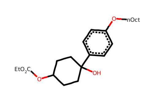 CCCCCCCCOc1ccc(C2(O)CCC(OC(=O)OCC)CC2)cc1